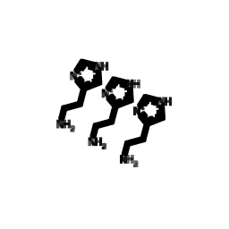 NCCc1c[nH]cn1.NCCc1c[nH]cn1.NCCc1c[nH]cn1